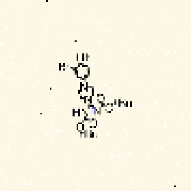 CC(C)(C)OC(=O)/N=C(/NC(=O)OC(C)(C)C)N1CCN(c2ccc(O)c(Br)c2)CC1